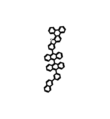 c1cc(-c2ccc3ccccc3c2)cc(-c2c3ccccc3c(-c3c4ccccc4c(-c4ccc5sc6c(ccc7c8ccccc8c8ccccc8c76)c5c4)c4ccccc34)c3ccccc23)c1